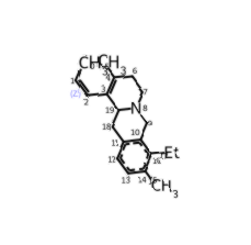 C/C=C\C1=C(C)CCN2Cc3c(ccc(C)c3CC)CC12